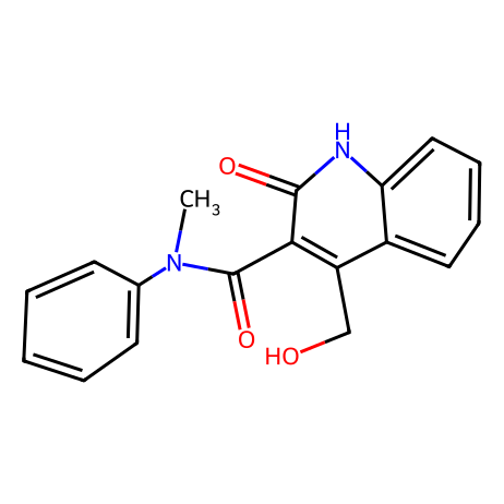 CN(C(=O)c1c(CO)c2ccccc2[nH]c1=O)c1ccccc1